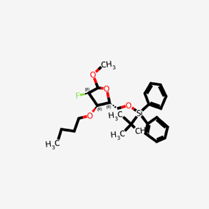 CCCCO[C@@H]1[C@@H](CO[Si](c2ccccc2)(c2ccccc2)C(C)(C)C)OC(OC)[C@@H]1F